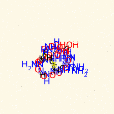 C[C@@H]1NC(=O)[C@@H]2CCCN2C(=O)[C@H](CC(N)=O)NC(=O)[C@@H]2CSSC[C@@H](C(N)=O)NC(=O)[C@H](CO)NC(=O)[C@H](Cc3cccc(O)c3)NC(=O)[C@H](Cc3cnc[nH]3)NC(=O)[C@H](CCCN=C(N)N)NC(=O)CNC(=O)[C@H](CSSC[C@H](NC(=O)[C@@H](N)CCC(=O)O)C(=O)N2)NC1=O